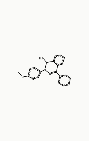 COc1ccc(N2N=C(c3ccccc3)c3ccccc3C2N)cn1